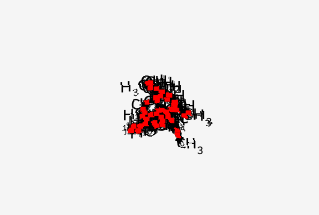 CCCCCc1ccc(NC(=O)NC(=O)C[C@@H]2CC(=O)[C@H](NC(=O)[C@H](CC)CC(C)C)[C@H](O)c3ccc(c(Cl)c3)Oc3cc4cc(c3O[C@@H]3O[C@H](CO)[C@@H](O)[C@H](O)[C@H]3O[C@H]3C[C@](C)(N)[C@H](O)[C@H](C)O3)Oc3ccc(cc3Cl)[C@@H](O)[C@@H]3NC(=O)[C@H](CC(=O)[C@@H]4NC2=O)c2ccc(O)c(c2)-c2c(O)cc(O)cc2[C@@H](C(=O)CC2C4CC5CC(C4)CC2C5)NC3=O)cc1